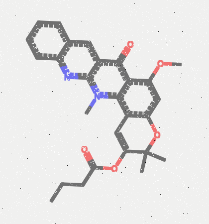 CCCC(=O)OC1=Cc2c(cc(OC)c3c(=O)c4cc5ccccc5nc4n(C)c23)OC1(C)C